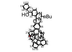 CCCCc1nc2ccc(C(O)c3ccccc3)cc2c(=O)n1Cc1ccc(-c2ccccc2-c2nnnn2C(c2ccccc2)(c2ccccc2)c2ccccc2)cc1